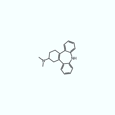 CN(C)C1CCC2=C(C1)c1ccccc1Nc1ccccc12